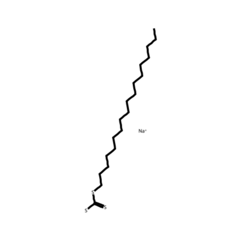 CCCCCCCCCCCCCCCCCCSC(=S)[S-].[Na+]